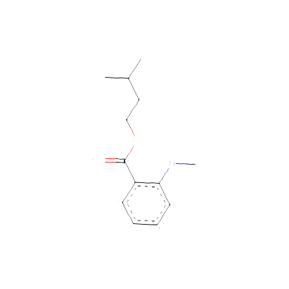 CNc1ccccc1C(=O)OCCC(C)C